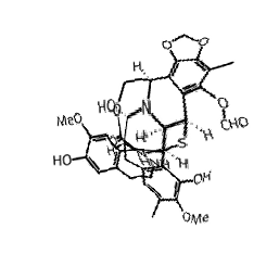 COc1cc2c(cc1O)CCN[C@]21CS[C@@H]2c3c(OC=O)c(C)c4c(c3[C@H](COC1=O)N1[C@@H]2[C@@H]2N[C@H](Cc3cc(C)c(OC)c(O)c32)[C@@H]1O)OCO4